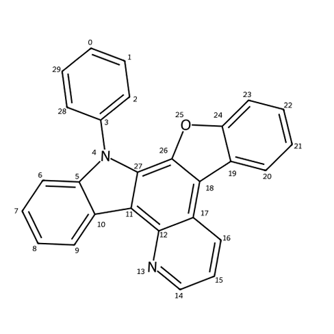 c1ccc(-n2c3ccccc3c3c4ncccc4c4c5ccccc5oc4c32)cc1